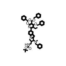 CCc1c(-c2ccc3c(c2)cc2n3CC(CNC(=O)OC(C)(C)C)C2N(C)Cc2ccccc2)nc(OCc2ccccc2)c(C(=O)OCc2ccccc2)c1OCc1ccccc1